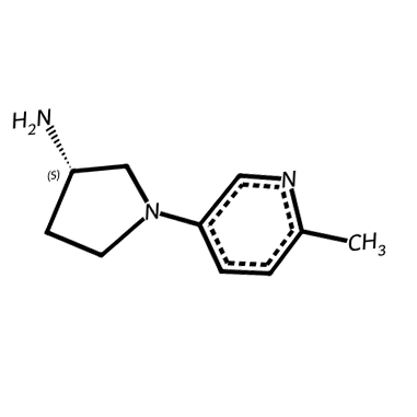 Cc1ccc(N2CC[C@H](N)C2)cn1